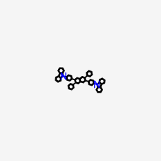 c1ccc(-c2cc3cc(-c4ccc(-n5c6ccccc6c6ccccc65)cc4)c(-c4ccccc4)cc3cc2-c2ccc(-n3c4ccccc4c4ccccc43)cc2)cc1